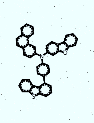 c1ccc2c(c1)ccc1ccc(N(c3ccc(-c4cccc5sc6ccccc6c45)cc3)c3ccc4c(c3)oc3ccccc34)cc12